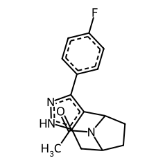 CC(=O)N1C2CCC1c1c(-c3ccc(F)cc3)n[nH]c1C2